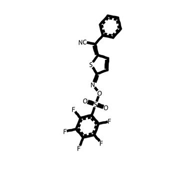 N#C/C(=C1/C=CC(=NOS(=O)(=O)c2c(F)c(F)c(F)c(F)c2F)S1)c1ccccc1